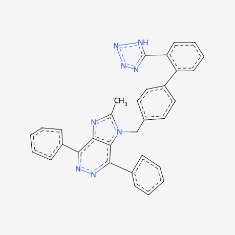 Cc1nc2c(-c3ccccc3)nnc(-c3ccccc3)c2n1Cc1ccc(-c2ccccc2-c2nnn[nH]2)cc1